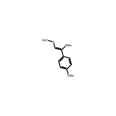 CN/C(=C\OC=O)c1ccc(OC)cc1